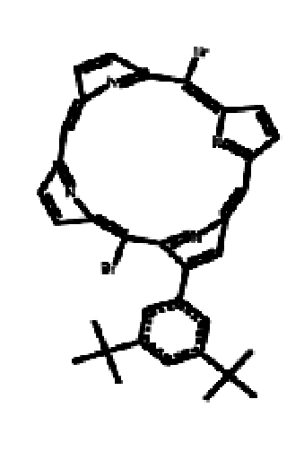 CC(C)(C)c1cc(C2=CC3=CC4=NC(=C(Br)C5=NC(=CC6=NC(=C(Br)C2=N3)C=C6)C=C5)C=C4)cc(C(C)(C)C)c1